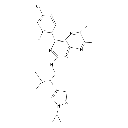 Cc1nc2nc(N3CCN(C)[C@@H](c4cnn(C5CC5)c4)C3)nc(-c3ccc(Cl)cc3F)c2nc1C